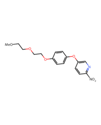 COCCOCCOc1ccc(Oc2ccc([N+](=O)[O-])nc2)cc1